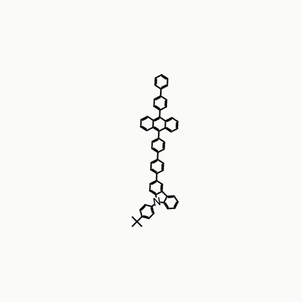 CC(C)(C)c1ccc(-n2c3ccccc3c3cc(-c4ccc(-c5ccc(-c6c7ccccc7c(-c7ccc(-c8ccccc8)cc7)c7ccccc67)cc5)cc4)ccc32)cc1